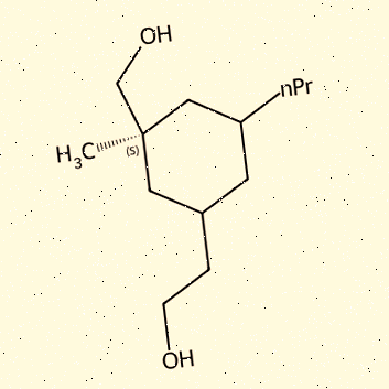 CCCC1CC(CCO)C[C@@](C)(CO)C1